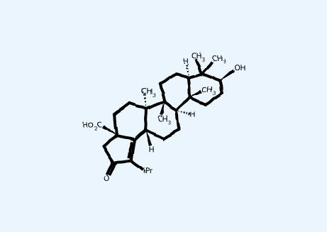 CC(C)C1=C2[C@H]3CC[C@@H]4[C@@]5(C)CC[C@H](O)C(C)(C)[C@@H]5CC[C@@]4(C)[C@]3(C)CC[C@@]2(C(=O)O)CC1=O